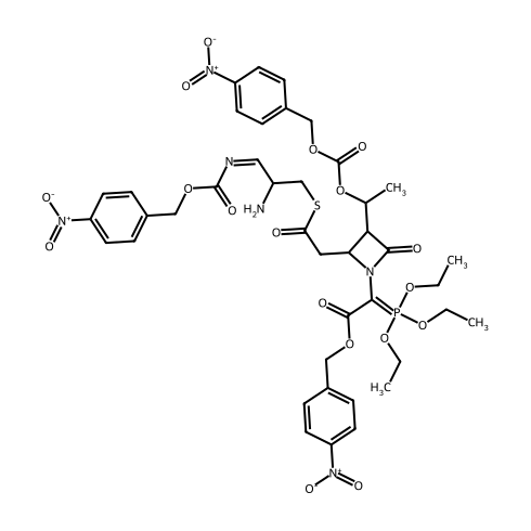 CCOP(OCC)(OCC)=C(C(=O)OCc1ccc([N+](=O)[O-])cc1)N1C(=O)C(C(C)OC(=O)OCc2ccc([N+](=O)[O-])cc2)C1CC(=O)SCC(N)C=NC(=O)OCc1ccc([N+](=O)[O-])cc1